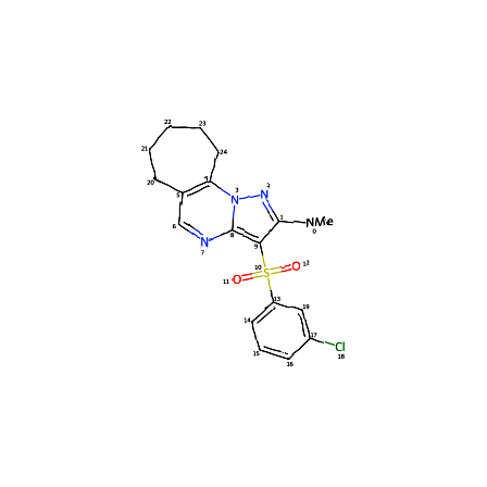 CNc1nn2c3c(cnc2c1S(=O)(=O)c1cccc(Cl)c1)CCCCC3